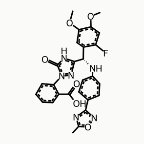 COc1cc(F)c([C@H](Nc2ccc(-c3noc(C)n3)cc2)c2nn(-c3ccccc3C(=O)O)c(=O)[nH]2)cc1OC